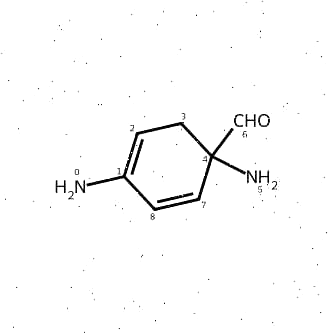 NC1=CCC(N)(C=O)C=C1